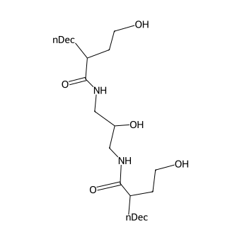 CCCCCCCCCCC(CCO)C(=O)NCC(O)CNC(=O)C(CCO)CCCCCCCCCC